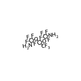 Nc1c(F)c(F)c(F)c(Oc2ccc(C(F)(F)F)c(Oc3c(F)c(N)c(F)c(F)c3F)c2)c1F